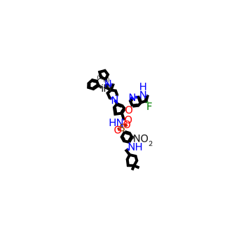 CC(C)c1ccccc1[C@@H]1CCC[C@@H]1N1CC2(CCN(c3ccc(C(=O)NS(=O)(=O)c4ccc(NCC5CCC(C)(C)CC5)c([N+](=O)[O-])c4)c(Oc4cnc5[nH]cc(F)c5c4)c3)CC2)C1